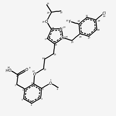 COc1cccc(CC(=O)O)c1OCCCc1cc(OC(C)C)nn1Cc1ccc(Cl)cc1F